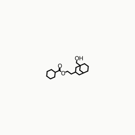 O=C(OCCC1CC2CCCC(CO)(C2)C1)C1CCCCC1